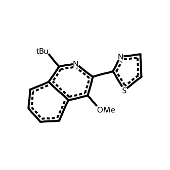 COc1c(-c2nccs2)nc(C(C)(C)C)c2ccccc12